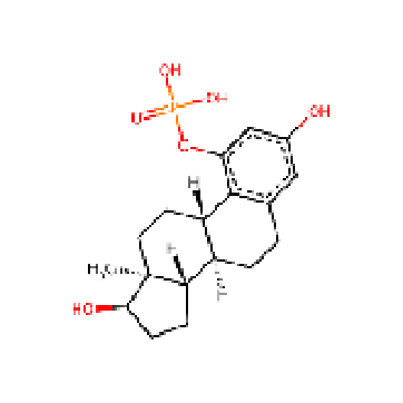 C[C@]12CC[C@@H]3c4c(cc(O)cc4OP(=O)(O)O)CC[C@H]3[C@@H]1CC[C@H]2O